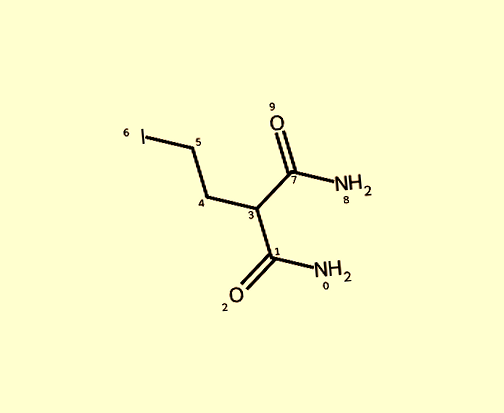 NC(=O)C(CCI)C(N)=O